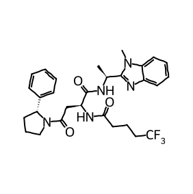 C[C@H](NC(=O)[C@H](CC(=O)N1CCC[C@@H]1c1ccccc1)NC(=O)CCCC(F)(F)F)c1nc2ccccc2n1C